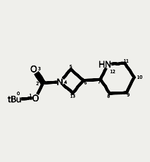 CC(C)(C)OC(=O)N1CC(C2CCCCN2)C1